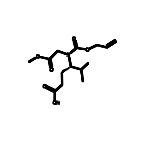 C=CCOC(=O)N(CC(=O)OC)[C@@H](CCC(=O)O)C(C)C